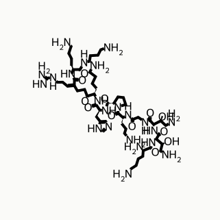 N=C(N)NCC/C=C(/CCC(=O)[C@H](CCCCN)NC(=O)[C@H](Cc1cnc[nH]1)NC(=O)[C@@H]1CCCN1C(=O)[C@@H](CCCN)NC(=O)CNC(=O)[C@@H](NC(=O)[C@@H](NC(=O)[C@@H](N)CCCCN)[C@@H](O)CN)[C@@H](O)CN)C(=O)N[C@@H](CCCCN)C(=O)NCCCCN